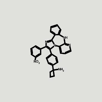 NC1(c2ccc(-c3c(-c4cccc([N+](=O)[O-])c4)nc4n3-c3cccnc3Nc3ccccc3-4)cc2)CCC1